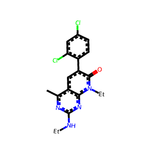 CCNc1nc(C)c2cc(-c3ccc(Cl)cc3Cl)c(=O)n(CC)c2n1